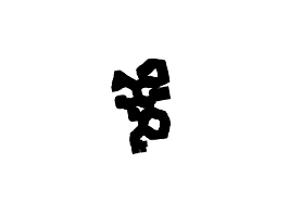 CC(C)CC1CCCCc2c1oc(=O)c(C(c1ccccc1)C1CC1)c2O